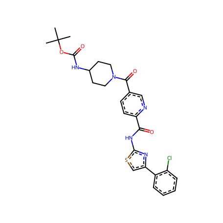 CC(C)(C)OC(=O)NC1CCN(C(=O)c2ccc(C(=O)Nc3nc(-c4ccccc4Cl)cs3)nc2)CC1